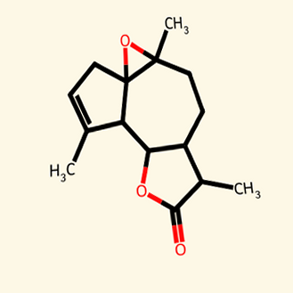 CC1=CCC23OC2(C)CCC2C(C)C(=O)OC2C13